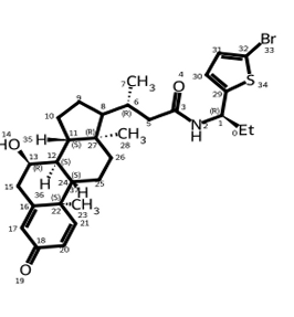 CC[C@@H](NC(=O)C[C@@H](C)C1CC[C@H]2[C@@H]3[C@H](O)CC4=CC(=O)C=C[C@]4(C)[C@H]3CC[C@]12C)c1ccc(Br)s1